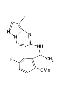 COc1ccc(F)cc1C(C)Nc1ccn2ncc(I)c2n1